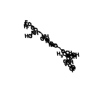 CC(C)(COCCCCCOCc1ccc(Cn2cc(C(=O)NCCC#Cc3ccc(OCc4ccc(F)c(C(F)(F)F)c4)c(CNCCO)c3)cn2)nn1)c1cc2cc(NC(=O)C3(c4ccc5c(c4)OC(F)(F)O5)CC3)c(F)cc2n1C[C@@H](O)CO